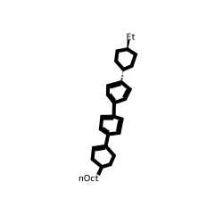 CCCCCCCCC1CC=C(c2ccc(-c3ccc([C@H]4CC[C@H](CC)CC4)cc3)cc2)CC1